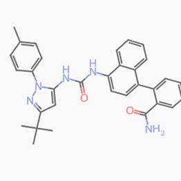 Cc1ccc(-n2nc(C(C)(C)C)cc2NC(=O)Nc2ccc(-c3ccccc3C(N)=O)c3ccccc23)cc1